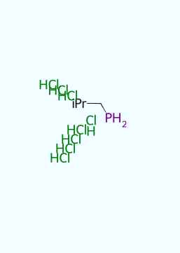 CC(C)CP.Cl.Cl.Cl.Cl.Cl.Cl.Cl.Cl